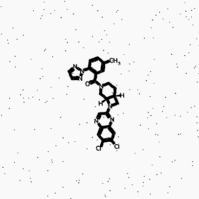 Cc1ccc(-n2nccn2)c(C(=O)N2CC[C@@H]3CN(c4cnc5cc(Cl)c(Cl)cc5n4)[C@@H]3C2)c1